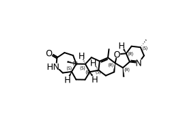 CC1=C2C[C@H]3[C@@H](CC[C@@H]4CNC(=O)CC[C@@]43C)[C@@H]2CC[C@]12O[C@@H]1C[C@H](C)CN=C1[C@H]2C